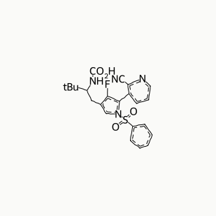 CC(C)(C)C(Cc1cn(S(=O)(=O)c2ccccc2)c(-c2cccnc2C#N)c1F)NC(=O)O